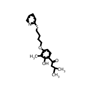 Cc1c(OCCCCSc2ccccn2)ccc(C(=O)CC(C)C)c1O